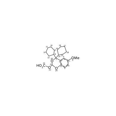 COc1ccc2c(c1)C(C1CCCCC1)(C1CCCCC1)OC(OC(=O)O)O2